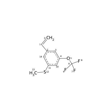 C=Cc1cc(OC(F)(F)F)cc(SC)c1